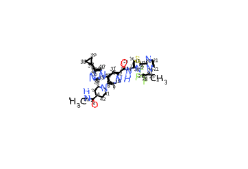 CNC(=O)C1CCN(c2cnc(C(=O)Nc3csc(-c4nccn4[C@@H](C)C(F)(F)F)n3)cc2-n2cnc(C3CC3)c2)CC1